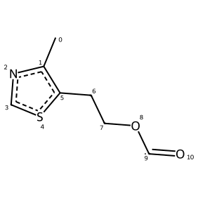 Cc1ncsc1CCO[C]=O